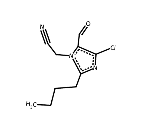 CCCCc1nc(Cl)c(C=O)n1CC#N